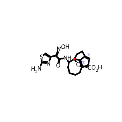 Nc1nc(C(=NO)C(=O)NC2CCCC/C(C(=O)O)=C(/C3=C\CCCCCC3)C2)cs1